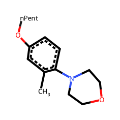 CCCCCOc1ccc(N2CCOCC2)c(C)c1